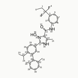 CCC(F)(F)c1cccc(NC(=O)c2c(C)[nH]c(-c3ccc(C(C)C)c(-c4c(C)cccc4C)c3)[n+]2O)c1